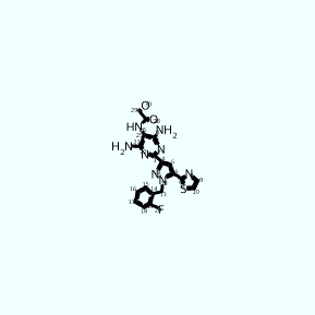 Nc1nc(-c2cc(-c3nccs3)n(Cc3ccccc3F)n2)nc(N)c1NC(=O)C=O